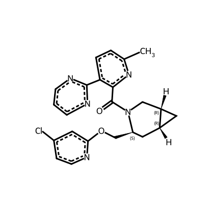 Cc1ccc(-c2ncccn2)c(C(=O)N2C[C@@H]3C[C@@H]3C[C@H]2COc2cc(Cl)ccn2)n1